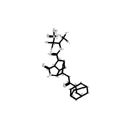 O=C(OC(C(F)(F)F)C(F)(F)S(=O)(=O)O)C1C2CC3C(OC(=O)C31)C2CC(=O)C12CC3CC(CC(C3)C1)C2